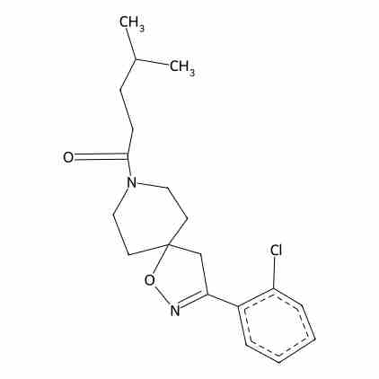 CC(C)CCC(=O)N1CCC2(CC1)CC(c1ccccc1Cl)=NO2